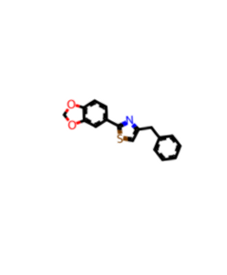 c1ccc(Cc2csc(-c3ccc4c(c3)OCO4)n2)cc1